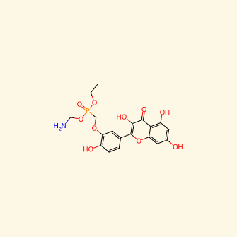 CCOP(=O)(COc1cc(-c2oc3cc(O)cc(O)c3c(=O)c2O)ccc1O)OCN